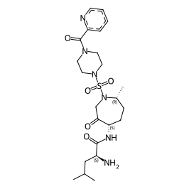 CC(C)C[C@H](N)C(=O)N[C@H]1CC[C@@H](C)N(S(=O)(=O)N2CCN(C(=O)c3ccccn3)CC2)CC1=O